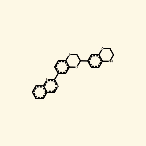 c1ccc2nc(-c3ccc4c(c3)OC(c3ccc5c(c3)OCCN5)CS4)ncc2c1